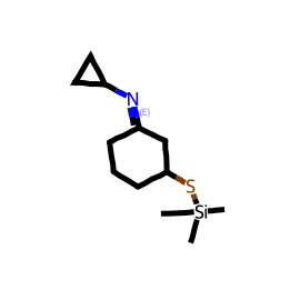 C[Si](C)(C)SC1CCC/C(=N\C2CC2)C1